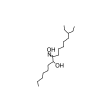 CCCCCCC(O)C(CCCCCC(CC)CC)=NO